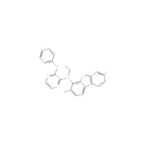 CCN(c1nccnc1Nc1ccccc1)c1c(C)ccc2c1oc1cc(F)ccc12